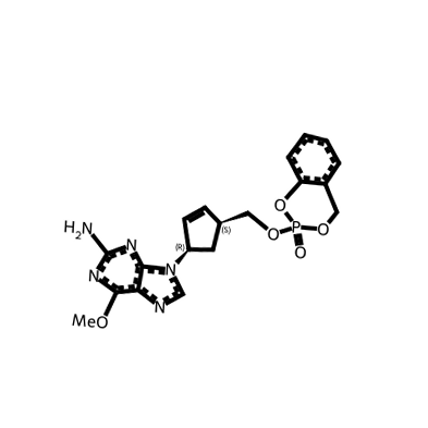 COc1nc(N)nc2c1ncn2[C@H]1C=C[C@@H](COP2(=O)OCc3ccccc3O2)C1